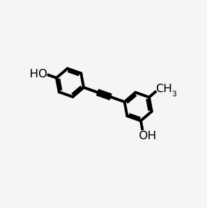 Cc1cc(O)cc(C#Cc2ccc(O)cc2)c1